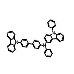 c1ccc(N(c2ccc(-c3ccc(-n4c5ccccc5c5ccccc54)cc3)cc2)c2ccc3c(c2)c2ccccc2n3-c2ccccc2)cc1